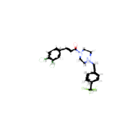 O=C(C=Cc1ccc(Cl)c(Cl)c1)N1CCN(Cc2ccc(C(F)(F)F)cc2)CC1